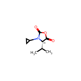 CC(C)[C@H]1C(=O)OC(=O)N1C1CC1